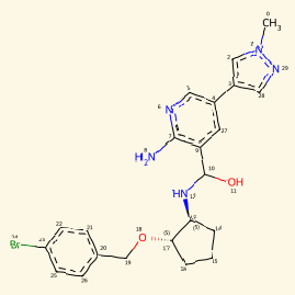 Cn1cc(-c2cnc(N)c(C(O)N[C@H]3CCC[C@@H]3OCc3ccc(Br)cc3)c2)cn1